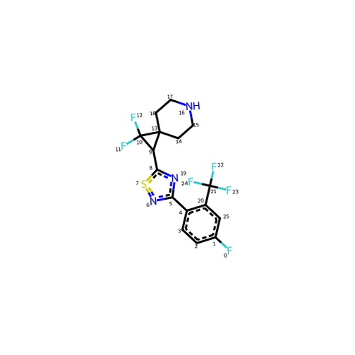 Fc1ccc(-c2nsc(C3C(F)(F)C34CCNCC4)n2)c(C(F)(F)F)c1